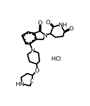 Cl.O=C1CCC(N2Cc3c(cccc3N3CCC(OC4CCNCC4)CC3)C2=O)C(=O)N1